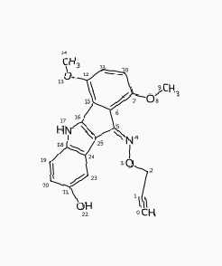 C#CCON=C1c2c(OC)ccc(OC)c2-c2[nH]c3ccc(O)cc3c21